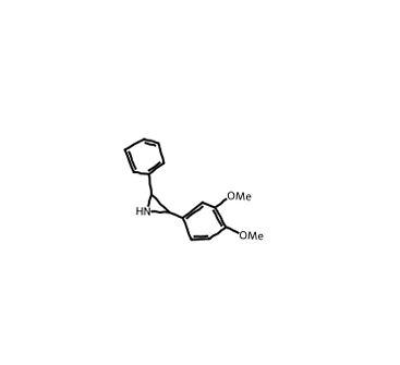 COc1ccc(C2NC2c2ccccc2)cc1OC